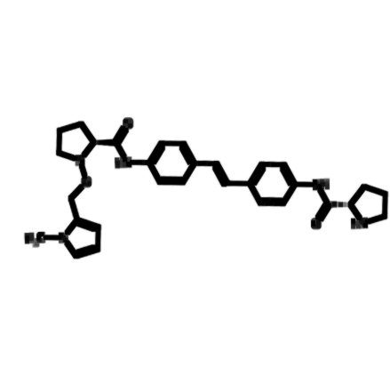 Cn1cccc1CON1CCC[C@H]1C(=O)Nc1ccc(/C=C/c2ccc(NC(=O)[C@@H]3CCCN3)cc2)cc1